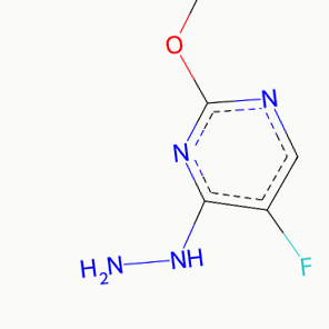 COc1ncc(F)c(NN)n1